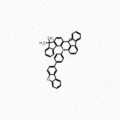 CC1(C)c2ccccc2-c2c1ccc1c2N(c2ccc(-c3ccc4oc5ccccc5c4c3)cc2)c2cccc3c2C1(C)c1ccccc1-3